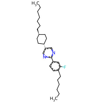 CCCCCCC[C@H]1CC[C@H](c2cnc(-c3ccc(CCCCCC)c(F)c3)nc2)CC1